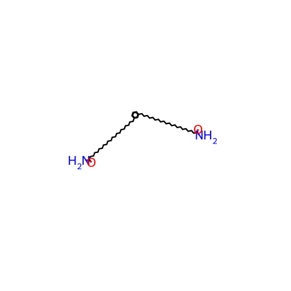 NC(=O)CCCCCCCCCCCCCCCCCCCCc1cccc(CCCCCCCCCCCCCCCCCCCCC(N)=O)c1